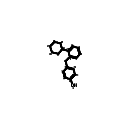 Oc1ccc(Cc2ccccc2C2CCCCC2)cc1